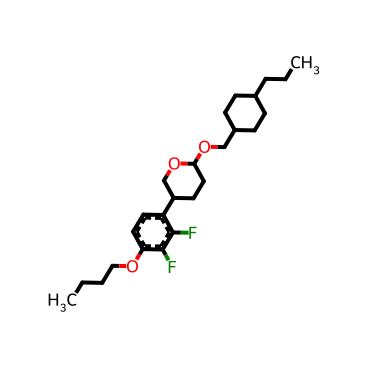 CCCCOc1ccc(C2CCC(OCC3CCC(CCC)CC3)OC2)c(F)c1F